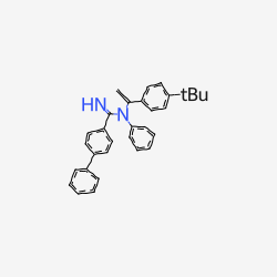 C=C(c1ccc(C(C)(C)C)cc1)N(C(=N)c1ccc(-c2ccccc2)cc1)c1ccccc1